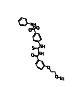 CCOCCOc1cccc(C(=O)NC(=S)Nc2ccc(S(=O)(=O)Nc3ccccc3)cc2)c1